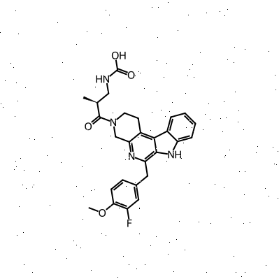 COc1ccc(Cc2nc3c(c4c2[nH]c2ccccc24)CCN(C(=O)[C@@H](C)CNC(=O)O)C3)cc1F